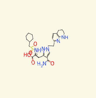 NC(=O)c1cn(CCc2ccc3c(n2)NCCC3)nc1C[C@H](NS(=O)(=O)CC1CCCCC1)C(=O)O